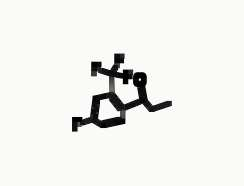 CCC(=O)c1ccc(F)cc1C(F)(F)F